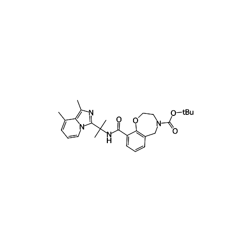 Cc1cccn2c(C(C)(C)NC(=O)c3cccc4c3OCCN(C(=O)OC(C)(C)C)C4)nc(C)c12